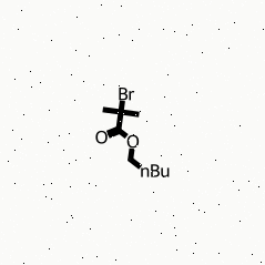 CCCCCOC(=O)C(C)(C)Br